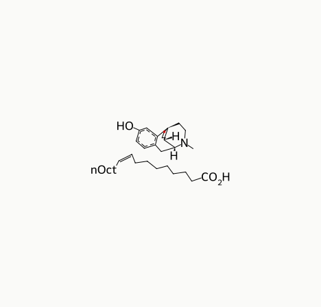 CCCCCCCC/C=C\CCCCCCCC(=O)O.CN1CC[C@]23CCCC[C@H]2[C@H]1Cc1ccc(O)cc13